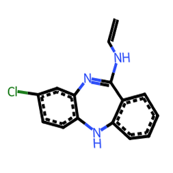 C=CNC1=Nc2cc(Cl)ccc2Nc2ccccc21